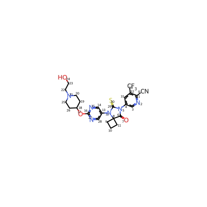 N#Cc1ncc(N2C(=O)C3(CCC3)N(c3cnc(OC4CCN(CCO)CC4)nc3)C2=S)cc1C(F)(F)F